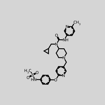 Cc1ccc(NC(=O)N(CC2CC2)C2CCN(Cc3ccc(Oc4ccc(NS(C)(=O)=O)cc4)nc3)CC2)cn1